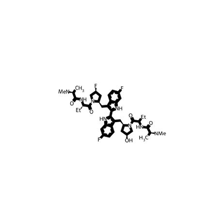 CCC(NC(=O)[C@H](C)NC)C(=O)N1C[C@@H](O)C[C@H]1Cc1c(-c2[nH]c3cc(F)ccc3c2C[C@@H]2C[C@H](F)CN2C(=O)[C@H](CC)NC(=O)[C@H](C)NC)[nH]c2cc(F)ccc12